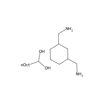 CCCCCCCCC(O)O.NCC1CCCC(CN)C1